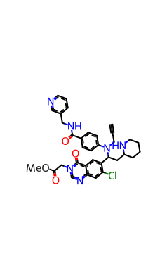 C#CCN(c1ccc(C(=O)NCc2cccnc2)cc1)C(CC1CCCCN1)c1cc2c(=O)n(CC(=O)OC)cnc2cc1Cl